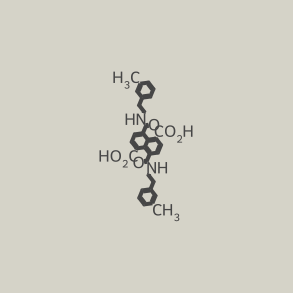 Cc1cccc(CCNC(=O)c2ccc(C(=O)O)c3c(C(=O)NCCc4cccc(C)c4)ccc(C(=O)O)c23)c1